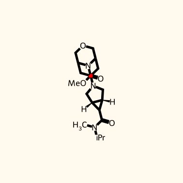 COC(=O)N1C2COCC1CC(N1C[C@@H]3C(C(=O)N(C)C(C)C)[C@@H]3C1)C2